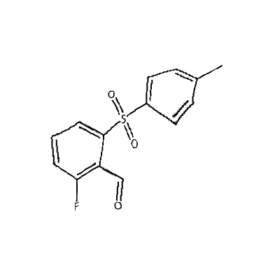 Cc1ccc(S(=O)(=O)c2cccc(F)c2C=O)cc1